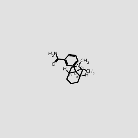 CO[C@]1(c2cccc(C(N)=O)c2)[C@@H]2CCC[C@H]1CN(C)C2